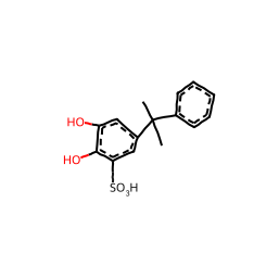 CC(C)(c1ccccc1)c1cc(O)c(O)c(S(=O)(=O)O)c1